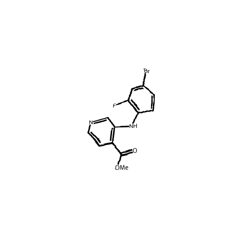 COC(=O)c1ccncc1Nc1ccc(Br)cc1F